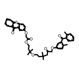 Cc1ccccc1C(=O)c1cc(OCC(=O)CC(C)(C)CCOC(C)(C)CCOC(=O)COc2ccc3sc4ccccc4c(=O)c3c2)ccc1C